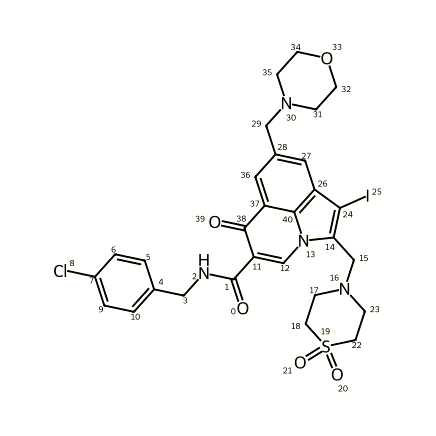 O=C(NCc1ccc(Cl)cc1)c1cn2c(CN3CCS(=O)(=O)CC3)c(I)c3cc(CN4CCOCC4)cc(c1=O)c32